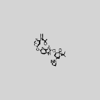 CC(=O)Nc1cc(Oc2ccc3nc(Oc4cc(-n5cccn5)cn(C(C)C)c4=O)n(C)c3n2)ccn1